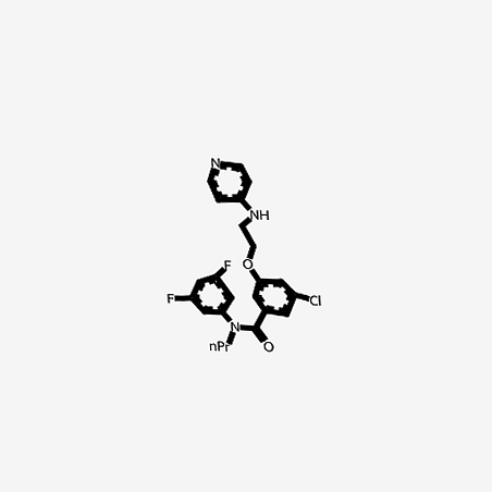 CCCN(C(=O)c1cc(Cl)cc(OCCNc2ccncc2)c1)c1cc(F)cc(F)c1